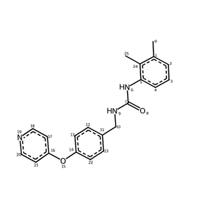 Cc1cccc(NC(=O)NCc2ccc(Oc3ccncc3)cc2)c1C